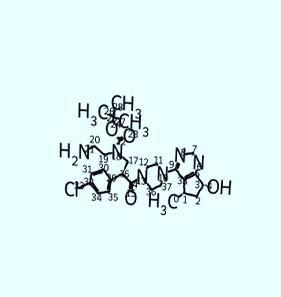 C[C@@H]1C[C@@H](O)c2ncnc(N3CCN(C(=O)[C@H](CN(CCN)C(=O)OC(C)(C)C)c4ccc(Cl)cc4)CC3)c21